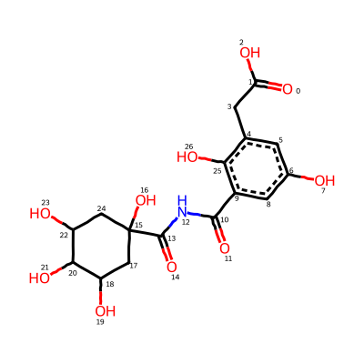 O=C(O)Cc1cc(O)cc(C(=O)NC(=O)C2(O)CC(O)C(O)C(O)C2)c1O